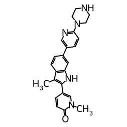 Cc1c(-c2ccc(=O)n(C)c2)[nH]c2cc(-c3ccc(N4CCNCC4)nc3)ccc12